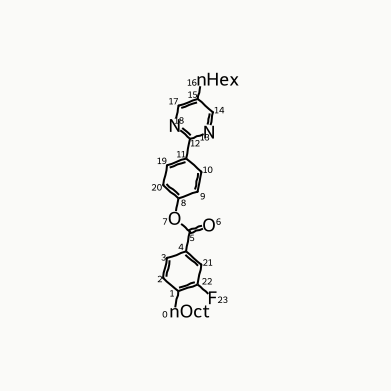 CCCCCCCCc1ccc(C(=O)Oc2ccc(-c3ncc(CCCCCC)cn3)cc2)cc1F